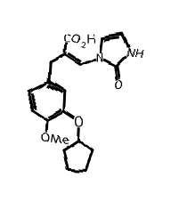 COc1ccc(CC(=Cn2cc[nH]c2=O)C(=O)O)cc1OC1CCCC1